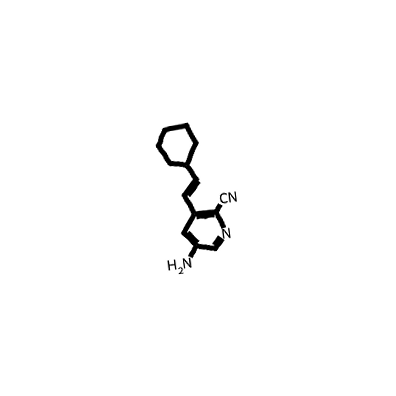 N#Cc1ncc(N)cc1/C=C/C1CCCCC1